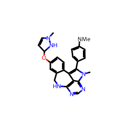 CNc1ccc(-c2c3c4c(ncnc4n2C)NCc2cc(OC4C=CN(C)N4)ccc2-3)cc1